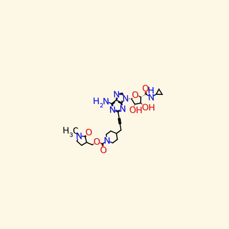 CN1CCC(COC(=O)N2CCC(CC#Cc3nc(N)c4ncn([C@@H]5O[C@H](C(=O)NC6CC6)C(O)[C@@H]5O)c4n3)CC2)C1=O